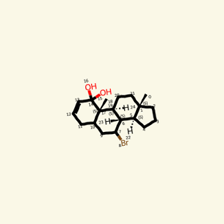 C[C@@]12CCC[C@H]1[C@@H]1C(Br)CC3CC=CC(O)(O)[C@]3(C)[C@H]1CC2